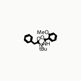 COc1ccccc1C(=O)NN(C(=O)Cc1ccccc1)C(C)(C)C